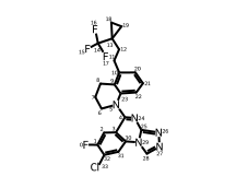 Fc1cc2c(N3CCCc4c(CCC5(C(F)(F)F)CC5)cccc43)nc3nncn3c2cc1Cl